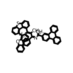 C=C(/N=C(\C(C)=C(/C)c1cccc2sc3cccc(-c4cccc5c4oc4ccccc45)c3c12)c1ccccc1)c1ccc2c3ccccc3c3ccccc3c2c1